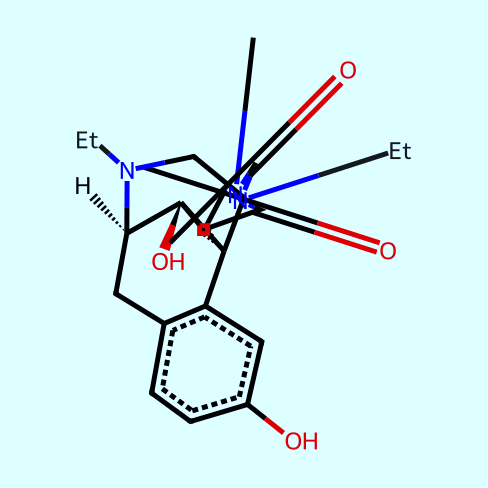 CCN1C(=O)C[C@]23CCN(CC)[C@H](Cc4ccc(O)cc42)[C@]3(O)CCN(C)C1=O